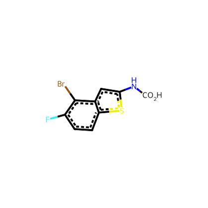 O=C(O)Nc1cc2c(Br)c(F)ccc2s1